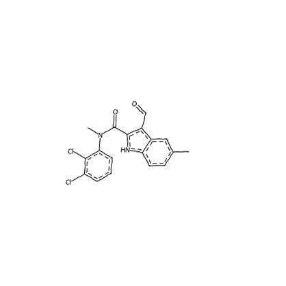 Cc1ccc2[nH]c(C(=O)N(C)c3cccc(Cl)c3Cl)c(C=O)c2c1